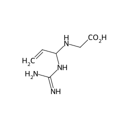 C=CC(NCC(=O)O)NC(=N)N